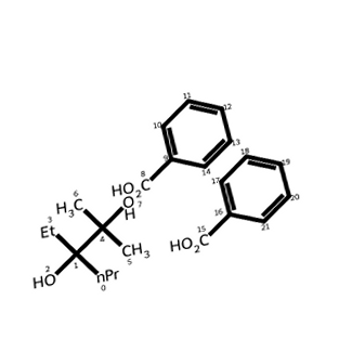 CCCC(O)(CC)C(C)(C)O.O=C(O)c1ccccc1.O=C(O)c1ccccc1